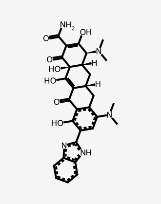 CN(C)c1cc(-c2nc3ccccc3[nH]2)c(O)c2c1C[C@H]1C[C@H]3[C@H](N(C)C)C(O)=C(C(N)=O)C(=O)[C@@]3(O)C(O)=C1C2=O